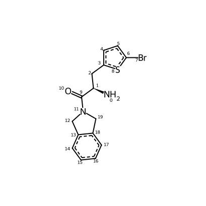 N[C@H](Cc1ccc(Br)s1)C(=O)N1Cc2ccccc2C1